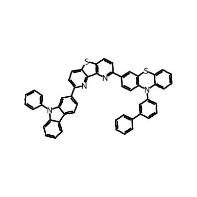 c1ccc(-c2cccc(N3c4ccccc4Sc4cc(-c5ccc6sc7ccc(-c8ccc9c%10ccccc%10n(-c%10ccccc%10)c9c8)nc7c6n5)ccc43)c2)cc1